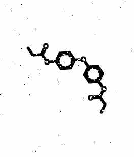 CCC(=O)Oc1ccc(Oc2ccc(OC(=O)CC)cc2)cc1